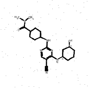 CN(C)C(=O)C1CCC(Nc2ncc(C#N)c(N[C@@H]3CCC[C@H](O)C3)n2)CC1